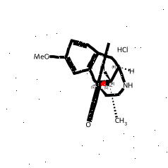 COc1ccc2c(c1)[C@]13CCN[C@H](C2)[C@@H]1C[C@H](C)C(=O)C3.Cl